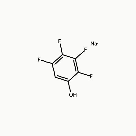 Oc1cc(F)c(F)c(F)c1F.[Na]